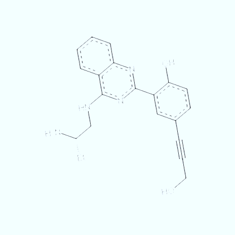 CC[C@H](N)CNc1nc(-c2cc(C#CCO)ccc2O)nc2ccccc12